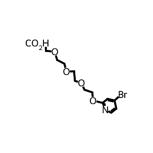 O=C(O)COCCOCCOCCOc1cc(Br)ccn1